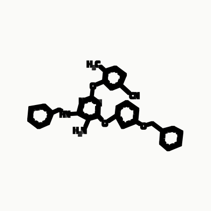 Cc1ccc(C#N)cc1Oc1nc(NCc2ccccc2)c(N)c(Oc2cccc(OCc3ccccc3)c2)n1